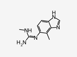 CNC(N)=Nc1ccc2[nH]cnc2c1C